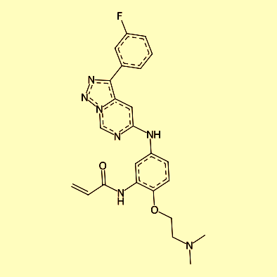 C=CC(=O)Nc1cc(Nc2cc3c(-c4cccc(F)c4)nnn3cn2)ccc1OCCN(C)C